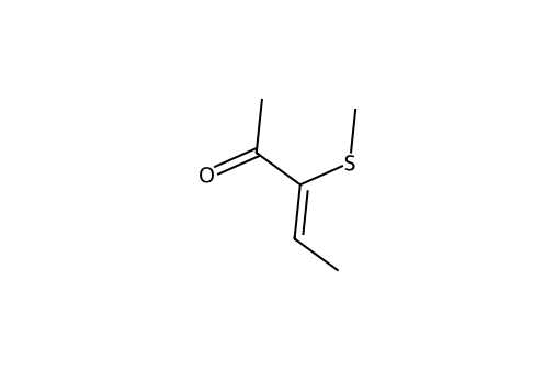 CC=C(SC)C(C)=O